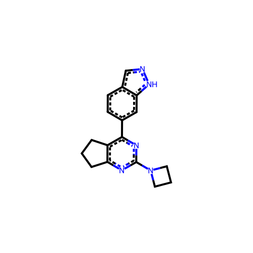 c1cc2cn[nH]c2cc1-c1nc(N2CCC2)nc2c1CCC2